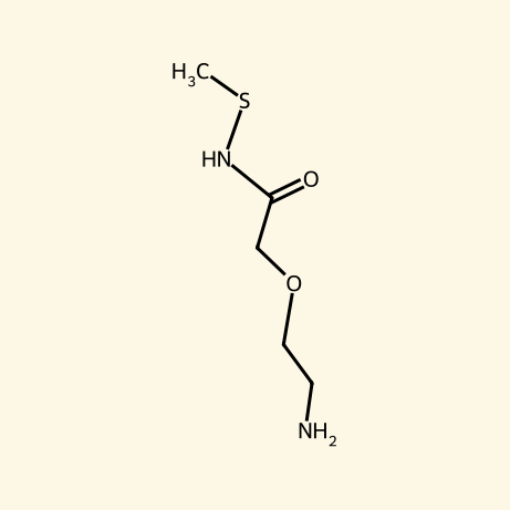 CSNC(=O)COCCN